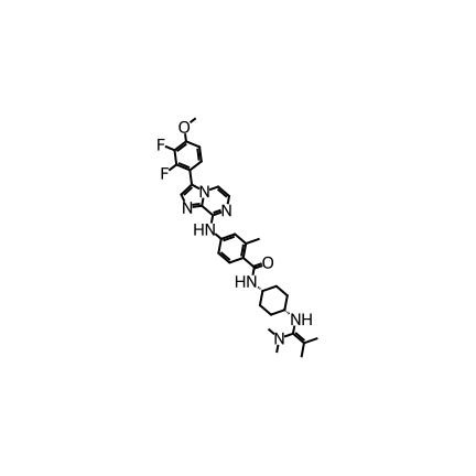 COc1ccc(-c2cnc3c(Nc4ccc(C(=O)N[C@H]5CC[C@@H](NC(=C(C)C)N(C)C)CC5)c(C)c4)nccn23)c(F)c1F